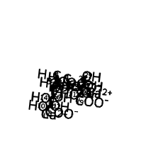 CC(O)C(=O)[O-].CC(O)C(=O)[O-].O=C([O-])[C@H](O)[C@@H](O)[C@H](O)[C@H](O)CO.O=C([O-])[C@H](O)[C@@H](O)[C@H](O)[C@H](O)CO.[Ca+2].[Ca+2]